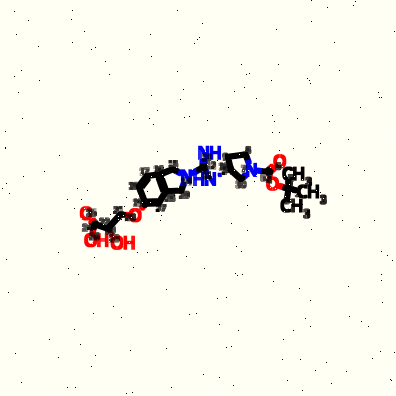 CC(C)(C)OC(=O)N1CC[C@@H](NC(=N)N2Cc3ccc(OC[C@@H](O)C(=O)O)cc3C2)C1